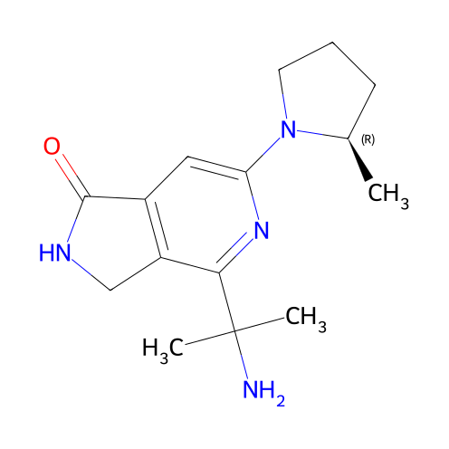 C[C@@H]1CCCN1c1cc2c(c(C(C)(C)N)n1)CNC2=O